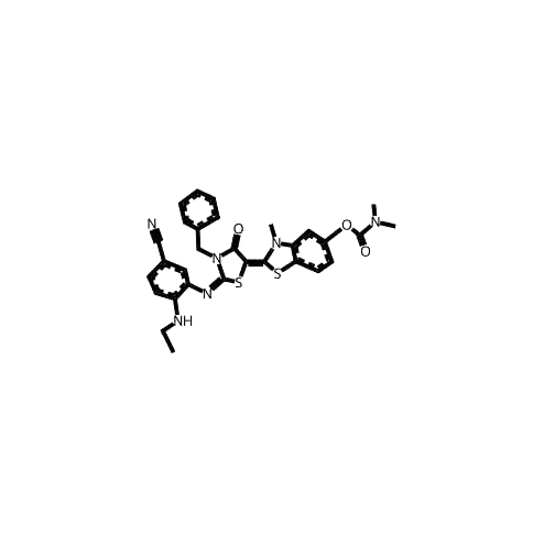 CCNc1ccc(C#N)cc1/N=C1/S/C(=C2\Sc3ccc(OC(=O)N(C)C)cc3N2C)C(=O)N1Cc1ccccc1